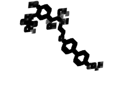 C[C@H](NCCOc1ccc(-c2ccc(C(=O)O)cc2)cc1)[C@H](O)c1ccc(O)c(NS(C)(=O)=O)c1